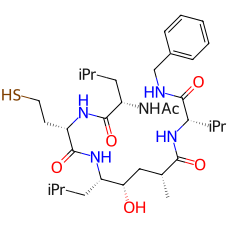 CC(=O)N[C@@H](CC(C)C)C(=O)N[C@@H](CCS)C(=O)N[C@@H](CC(C)C)[C@@H](O)C[C@@H](C)C(=O)N[C@H](C(=O)NCc1ccccc1)C(C)C